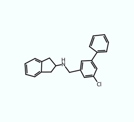 Clc1cc(CNC2Cc3ccccc3C2)cc(-c2ccccc2)c1